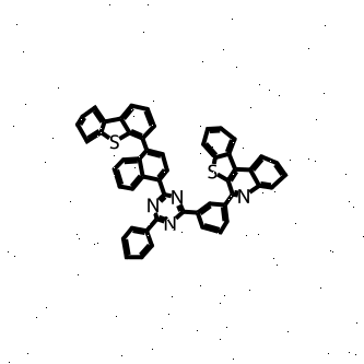 c1ccc(-c2nc(-c3cccc(-c4nc5ccccc5c5c4sc4ccccc45)c3)nc(-c3ccc(-c4cccc5c4sc4ccccc45)c4ccccc34)n2)cc1